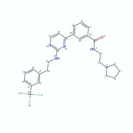 O=C(NCCN1CCCC1)c1cccc(-c2ccnc(NCCc3cccc(C(F)(F)F)c3)n2)c1